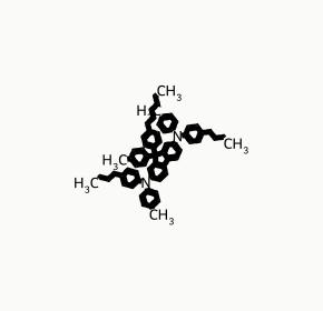 CCCCCCc1ccc(C2(c3ccc(C)cc3)c3cc(N(c4ccc(C)cc4)c4ccc(CCCC)cc4)ccc3-c3ccc(N(c4ccc(C)cc4)c4ccc(CCCC)cc4)cc32)cc1